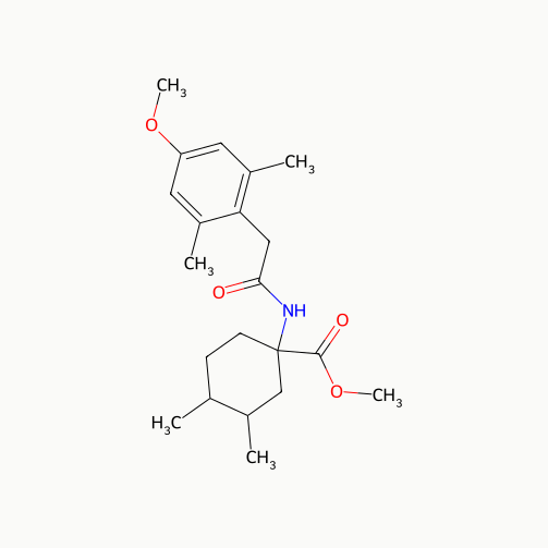 COC(=O)C1(NC(=O)Cc2c(C)cc(OC)cc2C)CCC(C)C(C)C1